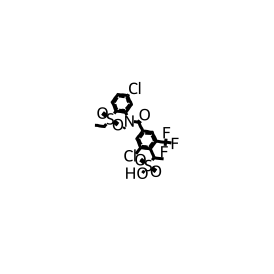 CCS(=O)(=O)c1ccc(Cl)cc1N(C)C(=O)c1cc(Cl)c(C(C)S(=O)(=O)O)c(C(F)(F)F)c1